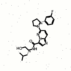 CC(C)C[C@H](CO)NC(=O)c1cnc2ccc(N3CCC[C@@H]3c3cccc(F)c3)nn12